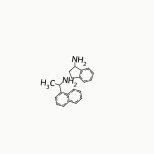 CC(N)c1cccc2ccccc12.NC1CCc2ccccc21